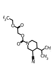 CCOC(=O)COC(=O)N1CCC(C(C)C)C(C#N)C1